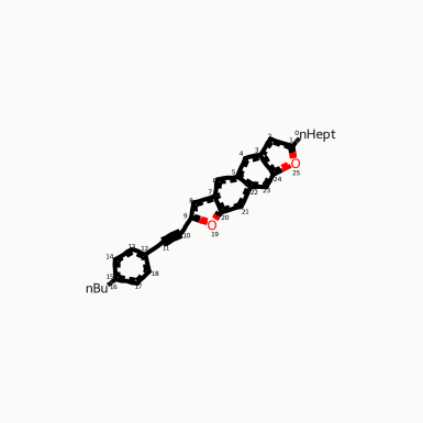 CCCCCCCc1cc2cc3cc4cc(C#Cc5ccc(CCCC)cc5)oc4cc3cc2o1